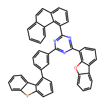 c1cc(-c2nc(-c3cccc4c3oc3ccccc34)nc(-c3cccc4ccc5ccccc5c34)n2)cc(-c2cccc3sc4ccccc4c23)c1